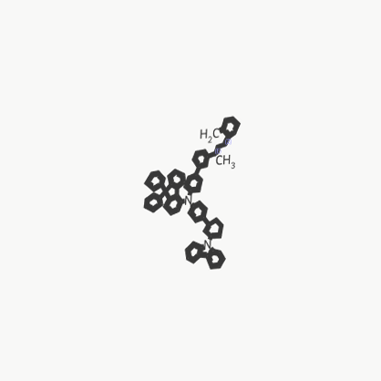 C=c1cccc/c1=C/C=C(\C)c1cccc(-c2ccc(N(c3ccc(C4=CC(n5c6ccccc6c6ccccc65)=CCC4)cc3)c3cccc4c3-c3ccccc3C4(c3ccccc3)c3ccccc3)cc2)c1